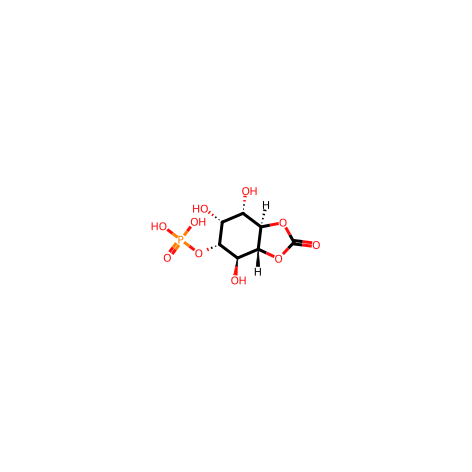 O=C1O[C@@H]2[C@@H](O)[C@@H](O)[C@@H](OP(=O)(O)O)[C@H](O)[C@H]2O1